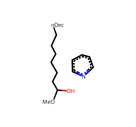 CCCCCCCCCCCCCCCCC(O)OC.c1ccncc1